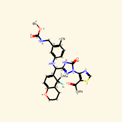 COC(=O)c1scnc1-n1nc(C(Nc2ccc(C#N)c(CNC(=O)OC(C)(C)C)c2)C2=CC=C3OCCCC3C2(F)OC)[nH]c1=O